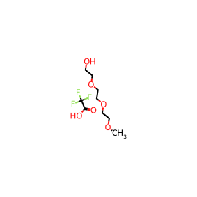 COCCOCCOCCO.O=C(O)C(F)(F)F